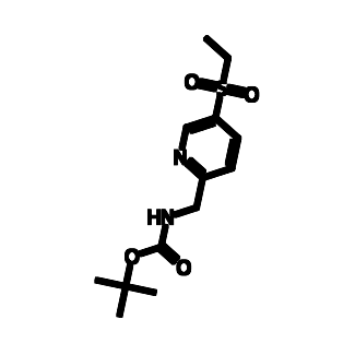 CCS(=O)(=O)c1ccc(CNC(=O)OC(C)(C)C)nc1